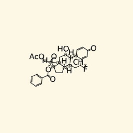 CC(=O)OCC(=O)[C@]1(OC(=O)c2ccccc2)CC[C@H]2[C@@H]3CC(F)C4=CC(=O)C=C[C@]4(C)[C@H]3[C@@H](O)C[C@@]21C